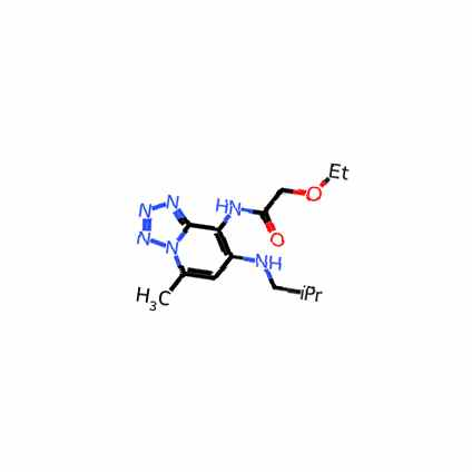 CCOCC(=O)Nc1c(NCC(C)C)cc(C)n2nnnc12